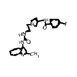 Cc1cc(NC(=O)NCCN2CCC(NC(=O)c3ccc(F)cc3)C2)c2ccccc2n1